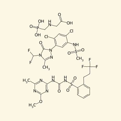 COc1nc(C)nc(NC(=O)NS(=O)(=O)c2ccccc2CCC(F)(F)F)n1.Cc1nn(-c2cc(NS(C)(=O)=O)c(Cl)cc2Cl)c(=O)n1C(F)F.O=C(O)CNCP(=O)(O)O